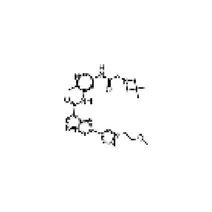 COCCn1cc(-c2cn3ncc(C(=O)Nc4cc(NC(=O)CN5CC(C)(C)C5)cnc4C)c3s2)cn1